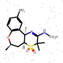 C[C@@H]1C[C@H]2[C@](C)(N=C(NC(=O)O)C(C)(C)S2(=O)=O)c2cc([N+](=O)[O-])ccc2O1